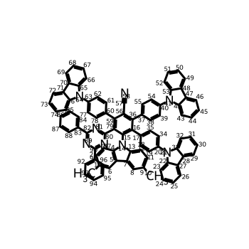 Cc1ccc2c(c1)c1cc(C)ccc1n2-c1c(-c2ccc(-n3c4ccccc4c4ccccc43)cc2)c(-c2ccc(-n3c4ccccc4c4ccccc43)cc2)c(C#N)c(-c2ccc(-n3c4ccccc4c4ccccc43)cc2)c1-c1nc(-c2ccccc2)nc(-c2ccccc2)n1